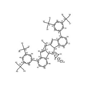 CCC1=Cc2c(-c3cc(C(C)(C)C)cc(C(C)(C)C)c3)cccc2[CH]1[Zr+2]1([CH]2C(CC)=Cc3c(-c4cc(C(C)(C)C)cc(C(C)(C)C)c4)cccc32)[CH2][CH2]1.[Cl-].[Cl-]